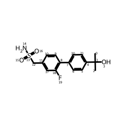 CC(C)(O)c1ccc(-c2ccc(CS(N)(=O)=O)cc2F)cc1